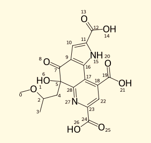 COC(C)CC1(O)C(=O)c2cc(C(=O)O)[nH]c2-c2c(C(=O)O)cc(C(=O)O)nc21